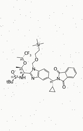 C[C@@H](O[C@H](C)C(F)(F)F)[C@H](N[S@+]([O-])C(C)(C)C)c1nc2cc([C@@H](C3CC3)N3C(=O)c4ccccc4C3=O)ccc2n1COCC[Si](C)(C)C